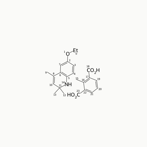 CCOc1ccc2c(c1)C(C)=CC(C)(C)N2.Cc1c(C(=O)O)cccc1C(=O)O